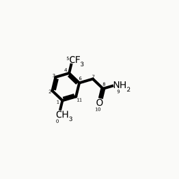 Cc1ccc(C(F)(F)F)c(CC(N)=O)c1